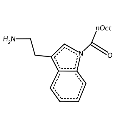 CCCCCCCCC(=O)n1cc(CCN)c2ccccc21